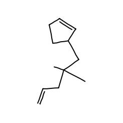 [CH]=CCC(C)(C)CC1C=CCC1